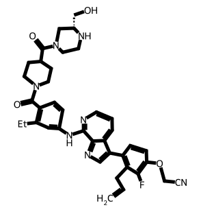 C=CCc1c(-c2cnc3c(Nc4ccc(C(=O)N5CCC(C(=O)N6CCN[C@@H](CO)C6)CC5)c(CC)c4)ncccc2-3)ccc(OCC#N)c1F